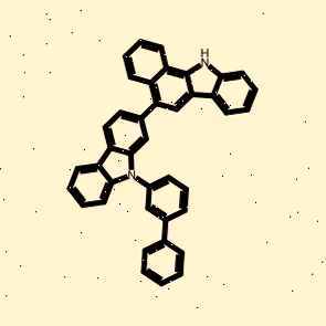 c1ccc(-c2cccc(-n3c4ccccc4c4ccc(-c5cc6c7ccccc7[nH]c6c6ccccc56)cc43)c2)cc1